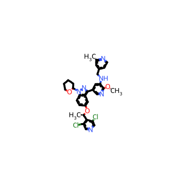 COc1ncc(-c2nn(C3CCCCO3)c3ccc(O[C@H](C)c4c(Cl)cncc4Cl)cc23)cc1NCc1ccnc(C)c1